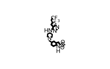 CS(=O)(=O)c1cc2cc(CN3CCC(Nc4ncnc5sc(CC(F)(F)F)cc45)CC3)ccc2[nH]1